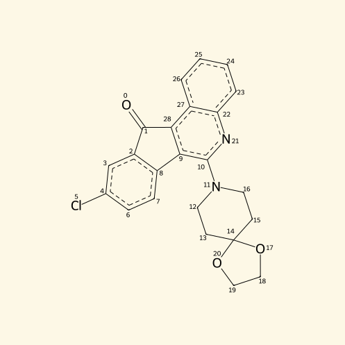 O=C1c2cc(Cl)ccc2-c2c(N3CCC4(CC3)OCCO4)nc3ccccc3c21